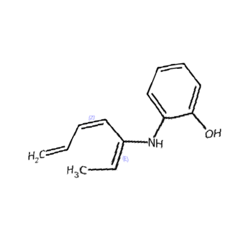 C=C/C=C\C(=C/C)Nc1ccccc1O